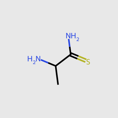 CC(N)C(N)=S